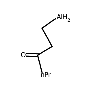 CCCC(=O)C[CH2][AlH2]